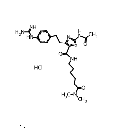 CC(=O)Nc1nc(CCc2ccc(NC(=N)N)cc2)c(C(=O)NCCCCCC(=O)N(C)C)s1.Cl